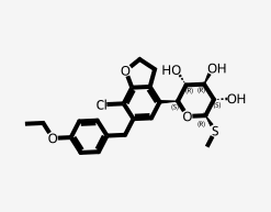 CCOc1ccc(Cc2cc([C@@H]3O[C@H](SC)[C@@H](O)[C@H](O)[C@H]3O)c3c(c2Cl)OCC3)cc1